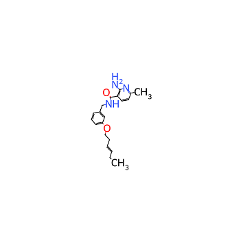 CC/C=C/CCOc1cccc(CNC(=O)c2ccc(C)nc2N)c1